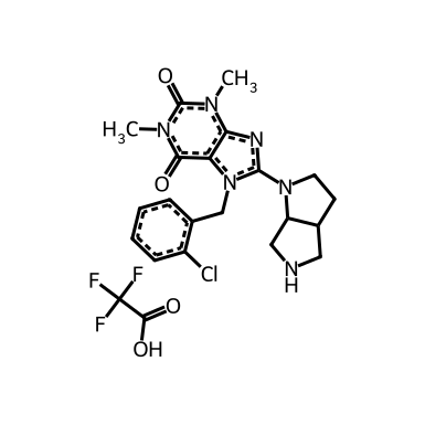 Cn1c(=O)c2c(nc(N3CCC4CNCC43)n2Cc2ccccc2Cl)n(C)c1=O.O=C(O)C(F)(F)F